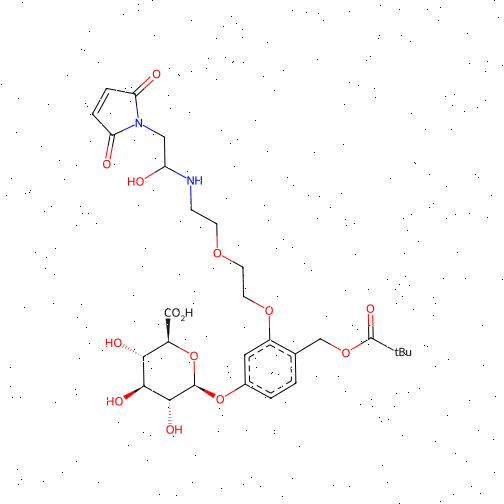 CC(C)(C)C(=O)OCc1ccc(O[C@@H]2O[C@H](C(=O)O)[C@@H](O)[C@H](O)[C@H]2O)cc1OCCOCCNC(O)CN1C(=O)C=CC1=O